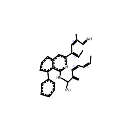 C=C(/C=C\C=C/C)C(Nc1nc(C(/C=C(/C)C=N)=C/C)cc2cccc(-c3ccccc3)c12)C(C)(C)C